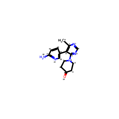 Cc1ncnc(N2CCC(=O)CC2)c1-c1ccc(N)nc1